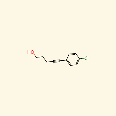 OCCCC#Cc1ccc(Cl)cc1